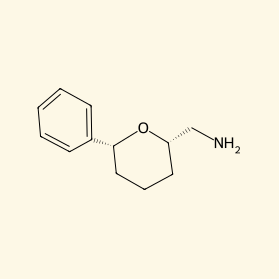 NC[C@@H]1CCC[C@H](c2ccccc2)O1